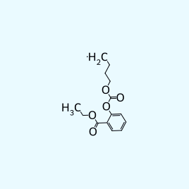 [CH2]CCCOC(=O)Oc1ccccc1C(=O)OCC